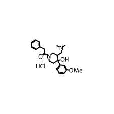 COc1cccc(C2(O)CCN(C(=O)Cc3ccccc3)CC2CN(C)C)c1.Cl